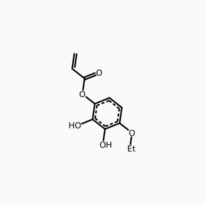 C=CC(=O)Oc1ccc(OCC)c(O)c1O